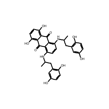 CC(Cc1cc(O)ccc1O)Nc1ccc(NC(C)Cc2cc(O)ccc2O)c2c1C(=O)c1c(O)ccc(O)c1C2=O